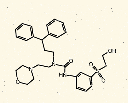 O=C(Nc1cccc(S(=O)(=O)CCO)c1)N(CCC(c1ccccc1)c1ccccc1)CCN1CCOCC1